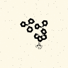 O=[N+]([O-])[O-].[Cu+].c1ccc(P(c2ccccc2)c2ccccc2)cc1.c1ccc(P(c2ccccc2)c2ccccc2)cc1.c1cnc2c(c1)ccc1cccnc12